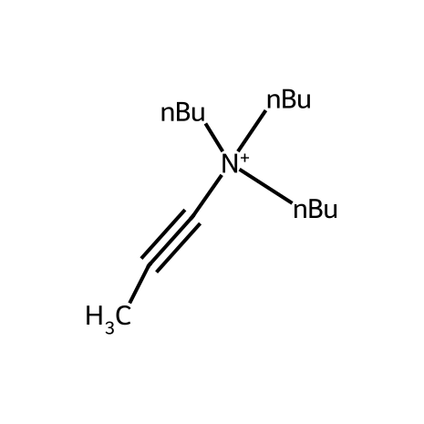 CC#C[N+](CCCC)(CCCC)CCCC